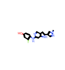 Cn1cc(-c2cc3cnc(Nc4ccc(O)cc4F)cc3[nH]2)cn1